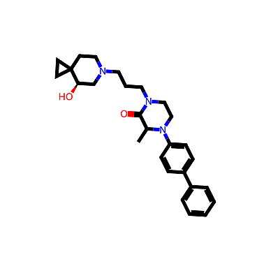 CC1C(=O)N(CCCN2CCC3(CC3)[C@H](O)C2)CCN1c1ccc(-c2ccccc2)cc1